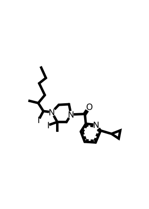 CCCCC(C)C(I)N1CCN(C(=O)c2cccc(C3CC3)n2)CC1(C)I